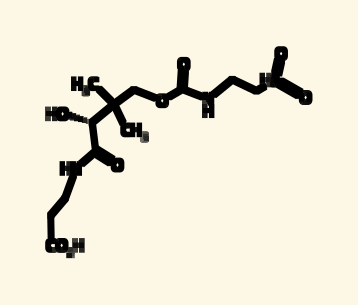 CC(C)(COC(=O)NCC[SH](=O)=O)[C@@H](O)C(=O)NCCC(=O)O